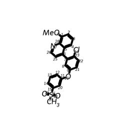 COc1cccc2c(-c3cc(Oc4cccc(S(C)(=O)=O)c4)ccc3Cl)ccnc12